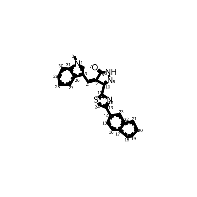 Cn1cc(C=C2C(=O)NN=C2c2nc(-c3ccc4ccccc4c3)cs2)c2ccccc21